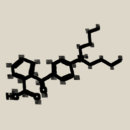 CCCCN(CCCC)c1ccc(C(=O)c2ccccc2C(=O)O)cc1